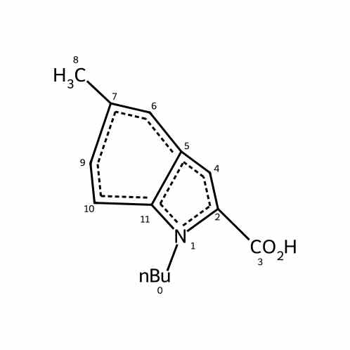 CCCCn1c(C(=O)O)cc2cc(C)ccc21